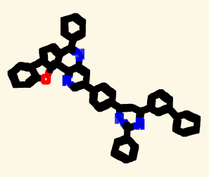 c1ccc(-c2cccc(-c3cc(-c4ccc(-c5cnc6c(c5)nc(-c5ccccc5)c5ccc7c8ccccc8oc7c56)cc4)nc(-c4ccccc4)n3)c2)cc1